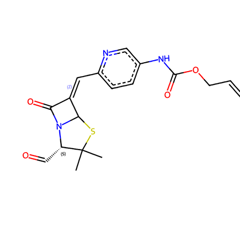 C=CCOC(=O)Nc1ccc(/C=C2/C(=O)N3C2SC(C)(C)[C@@H]3C=O)nc1